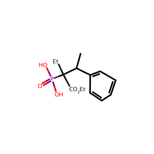 CCOC(=O)C(CC)(C(C)c1ccccc1)P(=O)(O)O